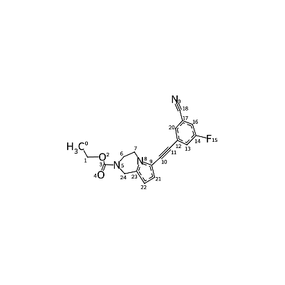 CCOC(=O)N1CCn2c(C#Cc3cc(F)cc(C#N)c3)ccc2C1